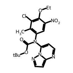 CCOc1c([N+](=O)[O-])cc(N(C(=O)OC(C)(C)C)c2ccnc3ccnn23)c(C)c1Cl